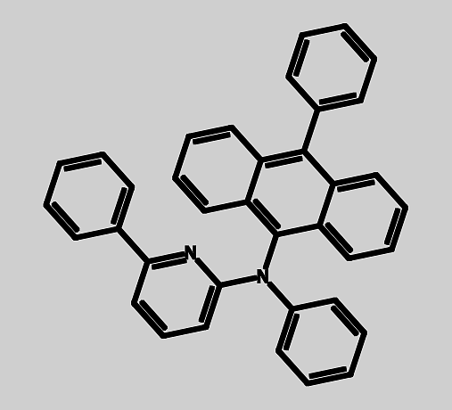 c1ccc(-c2cccc(N(c3ccccc3)c3c4ccccc4c(-c4ccccc4)c4ccccc34)n2)cc1